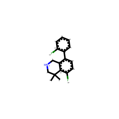 CC1(C)CNCc2c(-c3ccccc3F)ccc(F)c21